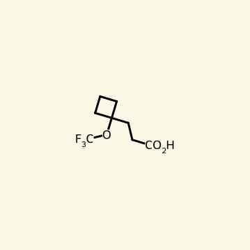 O=C(O)CCC1(OC(F)(F)F)CCC1